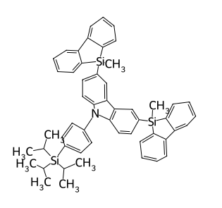 CC(C)[Si](c1ccc(-n2c3ccc([Si]4(C)c5ccccc5-c5ccccc54)cc3c3cc([Si]4(C)c5ccccc5-c5ccccc54)ccc32)cc1)(C(C)C)C(C)C